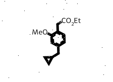 CCOC(=O)Cc1ccc(CC2CC2)cc1OC